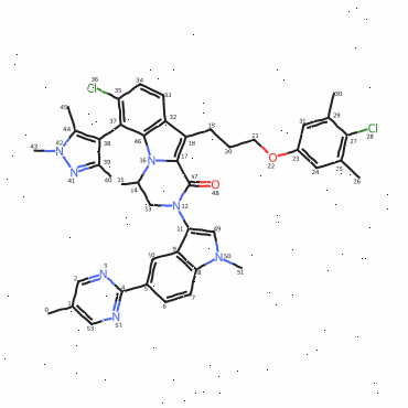 Cc1cnc(-c2ccc3c(c2)c(N2CC(C)n4c(c(CCCOc5cc(C)c(Cl)c(C)c5)c5ccc(Cl)c(-c6c(C)nn(C)c6C)c54)C2=O)cn3C)nc1